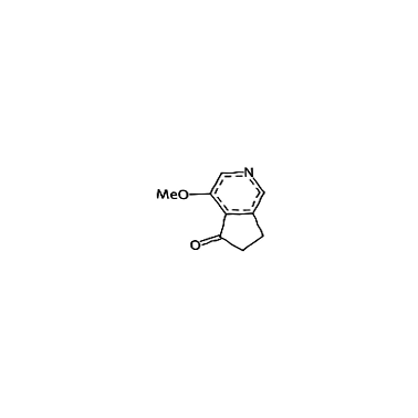 COc1cncc2c1C(=O)CC2